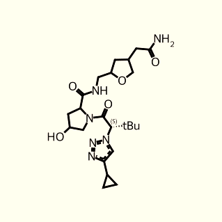 CC(C)(C)[C@@H](C(=O)N1CC(O)CC1C(=O)NCC1CC(CC(N)=O)CO1)n1cc(C2CC2)nn1